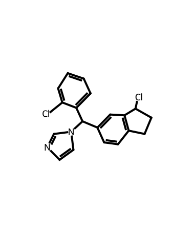 Clc1ccccc1C(c1ccc2c(c1)C(Cl)CC2)n1ccnc1